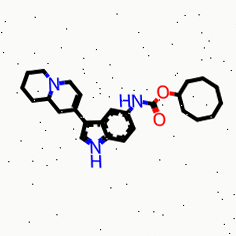 O=C(Nc1ccc2[nH]cc(C3=CCN4CCCCC4C3)c2c1)OC1CCCCCCC1